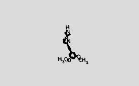 COc1cc(C#Cc2ccn(C3CNC3)n2)cc(OC)c1